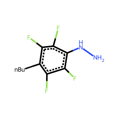 CCCCc1c(F)c(F)c(NN)c(F)c1F